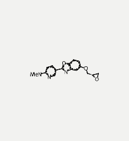 CNc1ccc(-c2nc3cc(OC[C@H]4CO4)ccc3o2)cn1